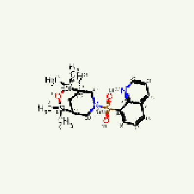 C[Si]1(C)O[Si](C)(C)[C@@H]2CC1CN(S(=O)(=O)c1cccc3cccnc13)C2